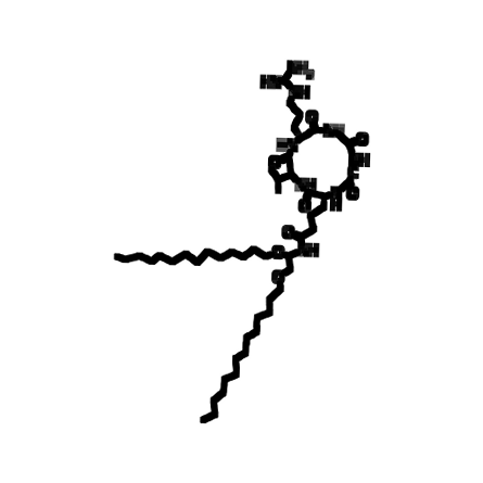 CCCCCCCCCCCCCCOCC(NC(=O)CCC[C@@H]1NC(=O)CNC(=O)CNC(=O)[C@H](CCCNC(=N)N)NC(=O)C(C(C)C)NC1=O)OCCCCCCCCCCCCCC